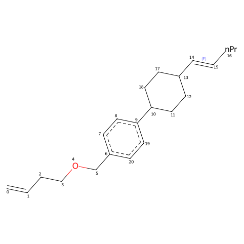 C=CCCOCc1ccc(C2CCC(/C=C/CCC)CC2)cc1